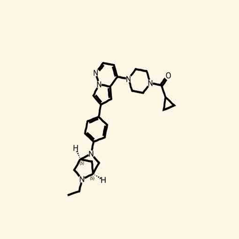 CCN1C[C@@H]2C[C@H]1CN2c1ccc(-c2cc3c(N4CCN(C(=O)C5CC5)CC4)ccnn3c2)cc1